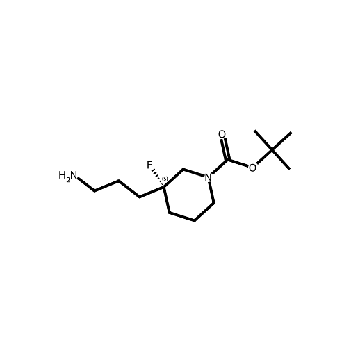 CC(C)(C)OC(=O)N1CCC[C@@](F)(CCCN)C1